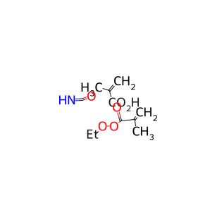 C=C(C)C(=O)O.C=C(C)C(=O)OOCC.N=C=O